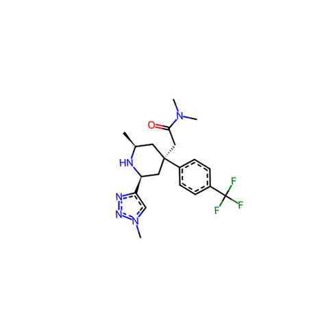 C[C@H]1C[C@@](CC(=O)N(C)C)(c2ccc(C(F)(F)F)cc2)C[C@@H](c2cn(C)nn2)N1